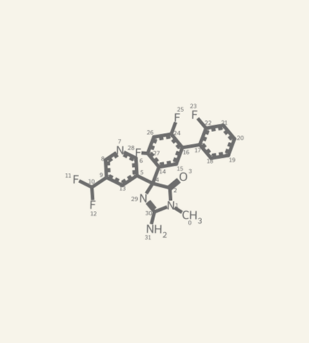 CN1C(=O)C(c2cncc(C(F)F)c2)(c2cc(-c3ccccc3F)c(F)cc2F)N=C1N